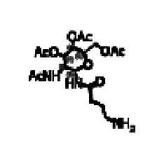 CC(=O)N[C@@H]1[C@@H](OC(C)=O)[C@H](OC(C)=O)[C@@H](COC(C)=O)O[C@H]1NC(=O)CCCN